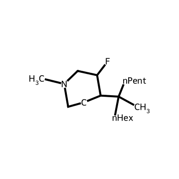 CCCCCCC(C)(CCCCC)C1CCN(C)CC1F